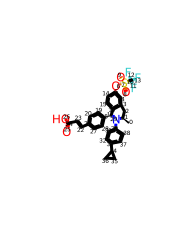 C[C@@H]1Cc2cc(OS(=O)(=O)C(F)(F)F)ccc2[C@@H](c2ccc(C=CC(=O)O)cc2)N1c1ccc(C2CC2)cc1